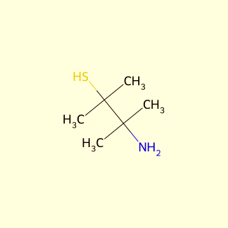 CC(C)(N)C(C)(C)S